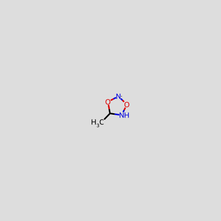 CC1NO[N]O1